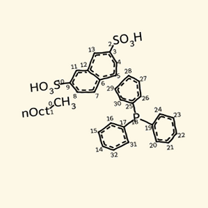 CCCCCCCCC.O=S(=O)(O)c1ccc2ccc(S(=O)(=O)O)cc2c1.c1ccc(P(c2ccccc2)c2ccccc2)cc1